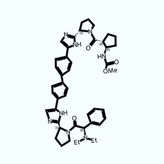 CCN(CC)[C@@H](C(=O)N1CCC[C@H]1c1ncc(-c2ccc(-c3ccc(-c4cnc([C@@H]5CCCN5C(=O)[C@@H]5CCC[C@H]5NC(=O)OC)[nH]4)cc3)cc2)[nH]1)c1ccccc1